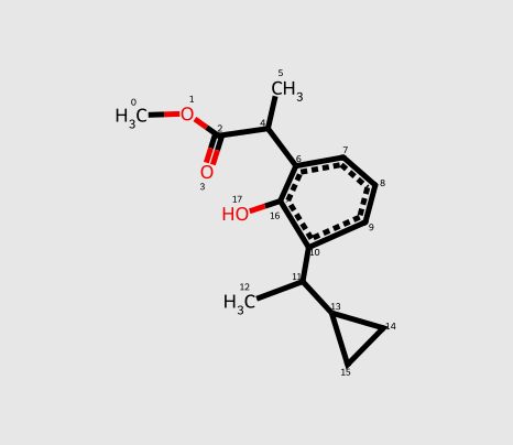 COC(=O)C(C)c1cccc(C(C)C2CC2)c1O